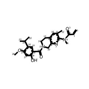 C=CC(=O)N(C)c1nc2c(cc1C)CCN(C(=O)c1cc(C(C)C)c(OC)cc1O)C2